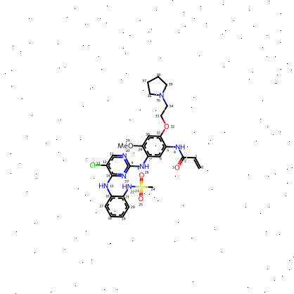 C=CC(=O)Nc1cc(Nc2ncc(Cl)c(Nc3ccccc3NS(C)(=O)=O)n2)c(OC)cc1OCCN1CCCC1